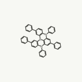 c1ccc(-c2ccc3c(c2)B2c4cc(-c5ccccc5)ccc4N(c4ccccc4)c4cc(-c5ccccc5)cc(c42)N3c2ccccc2)cc1